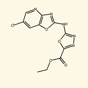 CCOC(=O)c1nnc(Nc2nc3ncc(Cl)cc3o2)o1